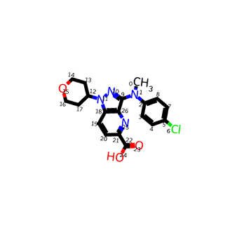 CN(c1ccc(Cl)cc1)c1nn(C2CCOCC2)c2ccc(C(=O)O)nc12